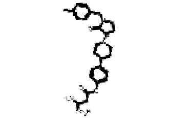 Cc1ccc(CN2CC[C@@H](N3CCC(c4ccc(OC(=O)CC(N)C(=O)O)cc4)CC3)C2=O)cc1